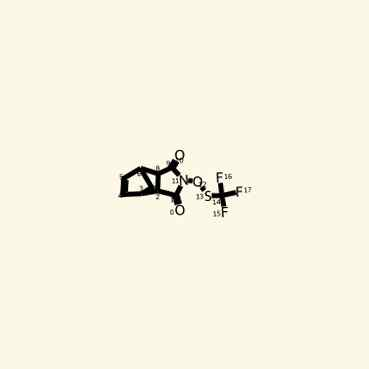 O=C1C2C3C=CC(C3)C2C(=O)N1OSC(F)(F)F